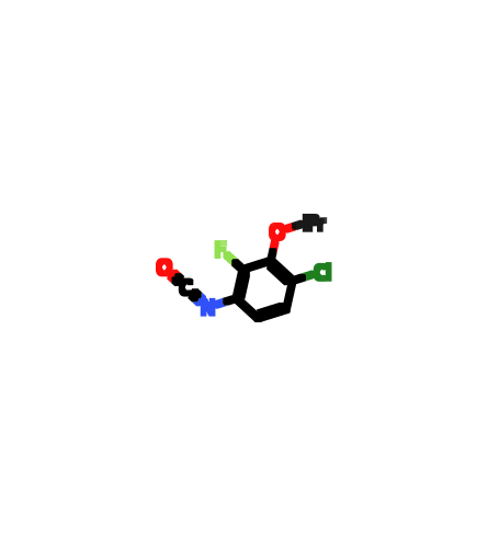 CC(C)Oc1c(Cl)ccc(N=C=O)c1F